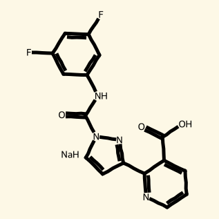 O=C(O)c1cccnc1-c1ccn(C(=O)Nc2cc(F)cc(F)c2)n1.[NaH]